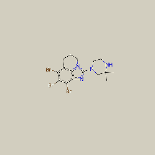 CC1(C)CN(c2nc3c(Br)c(Br)c(Br)c4c3n2CCC4)CCN1